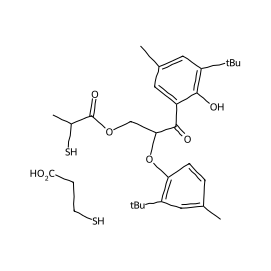 Cc1ccc(OC(COC(=O)C(C)S)C(=O)c2cc(C)cc(C(C)(C)C)c2O)c(C(C)(C)C)c1.O=C(O)CCS